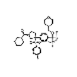 O=C(C1CCCCC1)N1CC[C@](c2ccc(C(OCC3CCOCC3)(C(F)(F)F)C(F)(F)F)cc2)(S(=O)(=O)c2ccc(F)cc2)C1